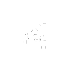 CC(C)CNS(=O)(=O)c1cc2c(c3cnc(Cl)cc13)CCC2O